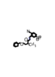 CC(CCOCc1ccccc1)C(=O)/C=C/c1cc([N+](=O)[O-])ccc1C#N